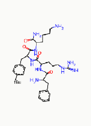 CC(C)(C)c1ccc(CC(NC(=O)C(CCCNC(=N)N)NC(=O)C(N)Cc2ccccc2)C(=O)NC(CCCCN)C(N)=O)cc1